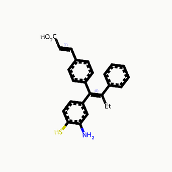 CC/C(=C(/c1ccc(/C=C/C(=O)O)cc1)c1ccc(S)c(N)c1)c1ccccc1